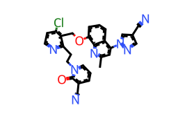 Cc1cc(-n2cc(C#N)cn2)c2cccc(OCc3c(Cl)ccnc3CCn3cccc(C#N)c3=O)c2n1